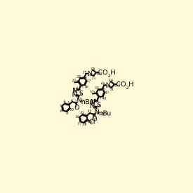 CCCCN(C(=O)Cc1ccccc1)c1nnc(-c2ccc(CN3CC(C(=O)O)C3)cc2C)s1.CCCCN(C(=O)Cc1ccccc1Cl)c1nnc(-c2ccc(CN3CC(C(=O)O)C3)cc2C)s1